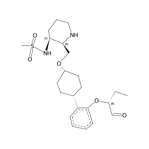 CC[C@H](C=O)Oc1ccccc1[C@H]1CC[C@@H](OC[C@@H]2NCCC[C@@H]2NS(C)(=O)=O)CC1